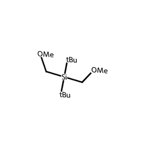 COC[Si](COC)(C(C)(C)C)C(C)(C)C